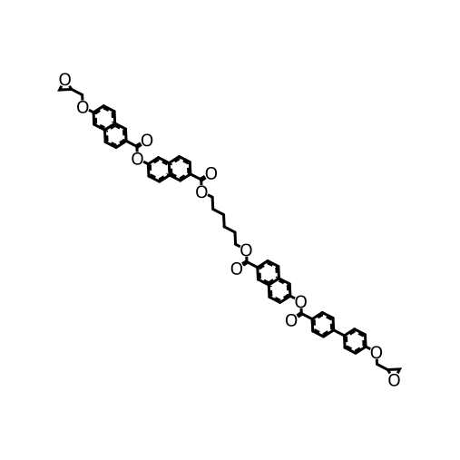 O=C(OCCCCCCOC(=O)c1ccc2cc(OC(=O)c3ccc4cc(OCC5CO5)ccc4c3)ccc2c1)c1ccc2cc(OC(=O)c3ccc(-c4ccc(OCC5CO5)cc4)cc3)ccc2c1